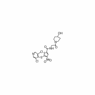 O=C(NCC(=O)N1CCC(O)CC1)c1cc([N+](=O)[O-])c(Sc2c(Cl)cncc2Cl)s1